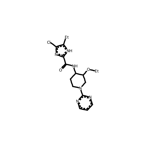 CCOC1CN(c2ncccn2)CCC1NC(=O)c1nc(Cl)c(CC)[nH]1